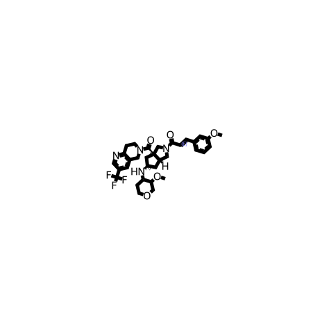 COc1cccc(/C=C/C(=O)N2C[C@@H]3C[C@@H](NC4CCOCC4OC)C[C@]3(C(=O)N3CCc4ncc(C(F)(F)F)cc4C3)C2)c1